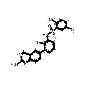 Nc1ncc2cc(-c3cccc(NS(=O)(=O)c4cc(Cl)ccc4Cl)c3F)ccc2n1